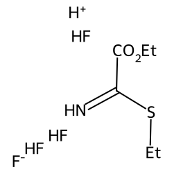 CCOC(=O)C(=N)SCC.F.F.F.[F-].[H+]